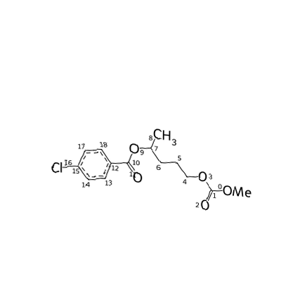 COC(=O)OCCCC(C)OC(=O)c1ccc(Cl)cc1